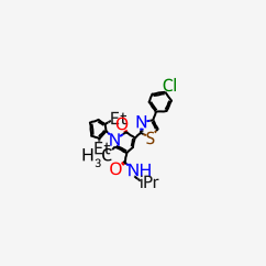 CCc1cccc(CC)c1-n1c(C)c(C(=O)NCC(C)C)cc(-c2nc(-c3ccc(Cl)cc3)cs2)c1=O